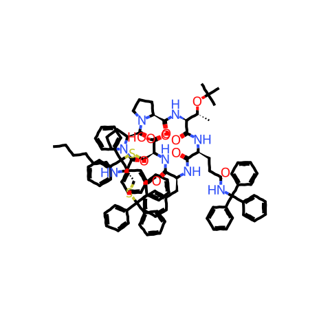 CCCCCCN[C@@H](CSC(c1ccccc1)(c1ccccc1)c1ccccc1)C(=O)N1CCC[C@H]1C(=O)N1CCC[C@H]1C(=O)N[C@H](C(=O)N[C@@H](CCC(=O)NC(c1ccccc1)(c1ccccc1)c1ccccc1)C(=O)N[C@@H](Cc1ccccc1)C(=O)N[C@@H](CSC(c1ccccc1)(c1ccccc1)c1ccccc1)C(=O)O)[C@@H](C)OC(C)(C)C